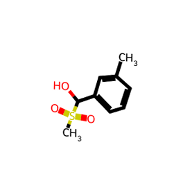 Cc1cccc(C(O)S(C)(=O)=O)c1